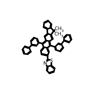 CC1(C)c2ccccc2-c2cc3c(-c4cccc(-c5ccccc5)c4)c4ccc(-c5nc6ccccc6s5)cc4c(-c4cccc(-c5ccccc5)c4)c3cc21